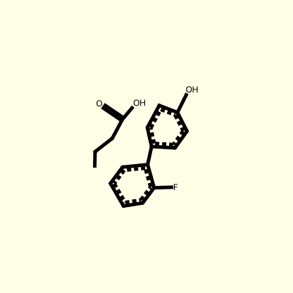 CCCC(=O)O.Oc1ccc(-c2ccccc2F)cc1